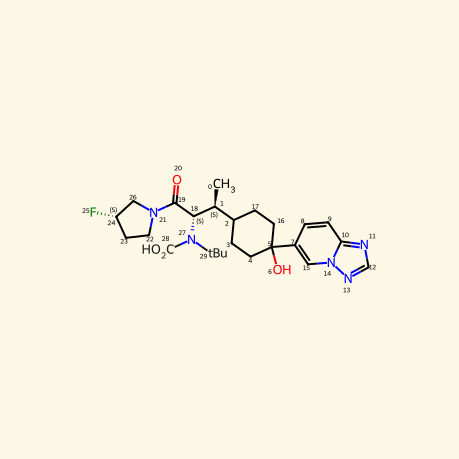 C[C@@H](C1CCC(O)(c2ccc3ncnn3c2)CC1)[C@@H](C(=O)N1CC[C@H](F)C1)N(C(=O)O)C(C)(C)C